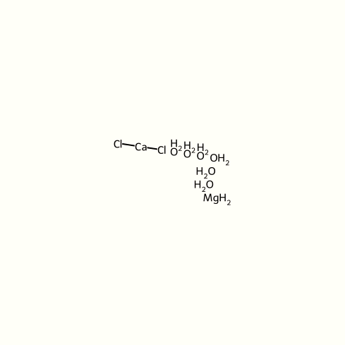 O.O.O.O.O.O.[Cl][Ca][Cl].[MgH2]